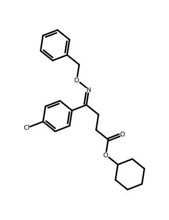 O=C(CCC(=NOCc1ccccc1)c1ccc(Cl)cc1)OC1CCCCC1